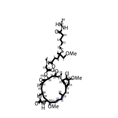 COCC(C)(CCC(=O)N(C)CC(=O)O[C@H]1CC(=O)N(C)c2cc(cc(OC)c2Cl)C/C(C)=C/C=C/[C@@H](OC)[C@@]2(O)C[C@@H](C[C@@H]3O[C@@]13C)OC(=O)N2)SSCCCC(=O)NNI